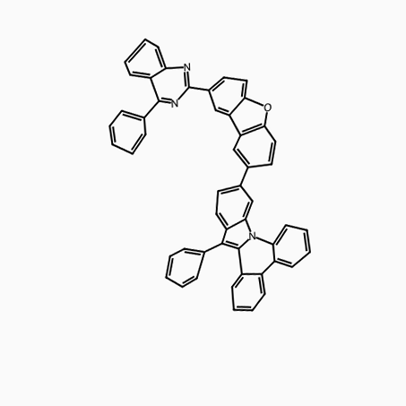 c1ccc(-c2nc(-c3ccc4oc5ccc(-c6ccc7c(-c8ccccc8)c8c9ccccc9c9ccccc9n8c7c6)cc5c4c3)nc3ccccc23)cc1